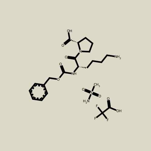 CS(N)(=O)=O.NCCCC[C@H](NC(=O)OCc1ccccc1)C(=O)N1CCC[C@H]1C(=O)O.O=C(O)C(F)(F)F